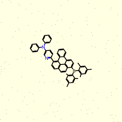 Cc1cc(C)c(B(c2c(C)cc(C)cc2C)c2ccc3c4ccccc4c4c(-c5ccc(N(c6ccccc6)c6ccccc6)cn5)ccc5ccc2c3c54)c(C)c1